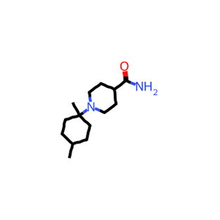 CC1CCC(C)(N2CCC(C(N)=O)CC2)CC1